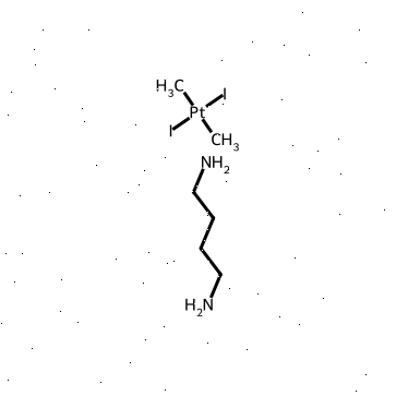 NCCCCN.[CH3][Pt]([CH3])([I])[I]